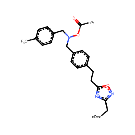 CCCCCCCCCCCc1noc(CCc2ccc(CN(Cc3ccc(C(F)(F)F)cc3)OC(=O)CCC)cc2)n1